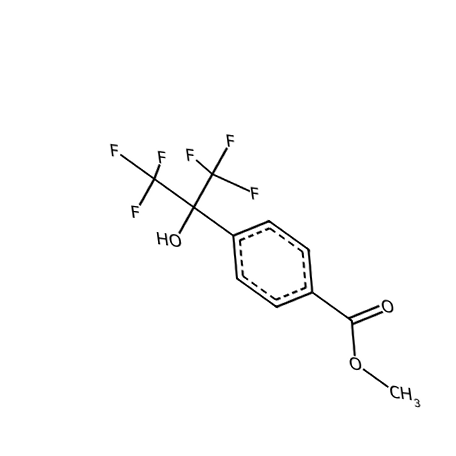 COC(=O)c1ccc(C(O)(C(F)(F)F)C(F)(F)F)cc1